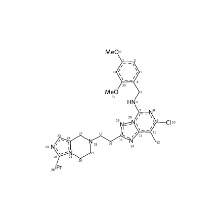 COc1ccc(CNc2nc(Cl)c(C)c3nc(CCN4CCn5c(cnc5C(C)C)C4)nn23)c(OC)c1